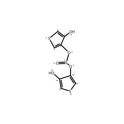 O=S(Oc1cscc1O)Oc1cscc1O